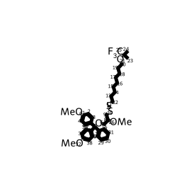 COc1ccc(C(OCC(CSSCCCCCCCCCOC(C)(C)C(F)(F)F)OC)(c2ccccc2)c2ccc(OC)cc2)cc1